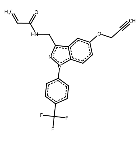 C#CCOc1ccc2c(c1)c(CNC(=O)C=C)nn2-c1ccc(C(F)(F)F)cc1